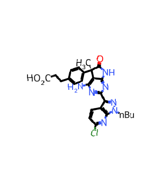 CCCCn1nc(-c2nc(N)c3c(n2)NC(=O)[C@]3(C)c2ccc(CCC(=O)O)cc2)c2ccc(Cl)nc21